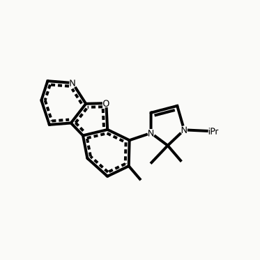 Cc1ccc2c(oc3ncccc32)c1N1C=CN(C(C)C)C1(C)C